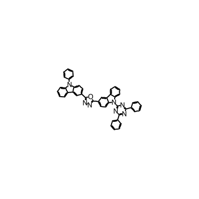 c1ccc(-c2nc(-c3ccccc3)nc(-n3c4ccccc4c4cc(-c5nnc(-c6ccc7c(c6)c6ccccc6n7-c6ccccc6)o5)ccc43)n2)cc1